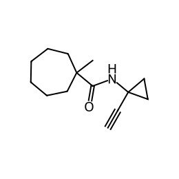 C#CC1(NC(=O)C2(C)CCCCCC2)CC1